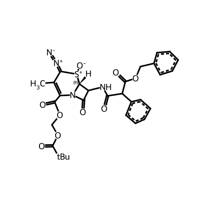 CC1=C(C(=O)OCOC(=O)C(C)(C)C)N2C(=O)C(NC(=O)C(C(=O)OCc3ccccc3)c3ccccc3)[C@H]2[S+]([O-])C1=[N+]=[N-]